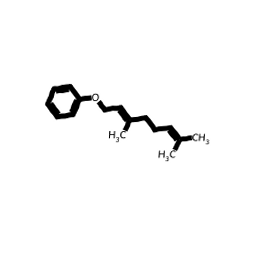 CC(C)=CCC/C(C)=C/COc1ccccc1